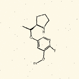 CCOc1cc(OC(C)[C@H]2CCCN2)cnc1F